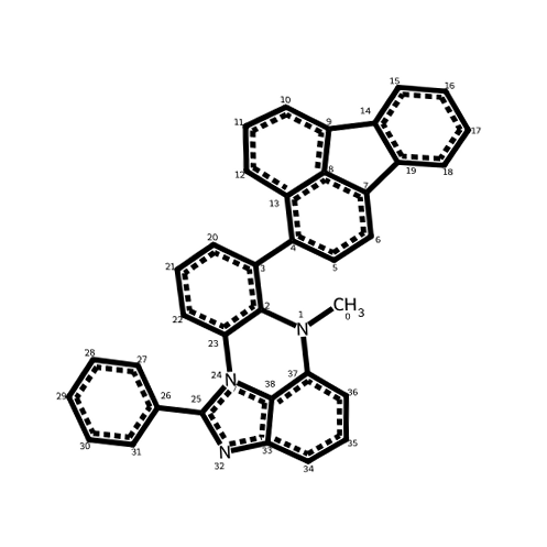 CN1c2c(-c3ccc4c5c(cccc35)-c3ccccc3-4)cccc2-n2c(-c3ccccc3)nc3cccc1c32